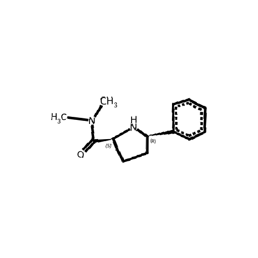 CN(C)C(=O)[C@@H]1CC[C@H](c2ccccc2)N1